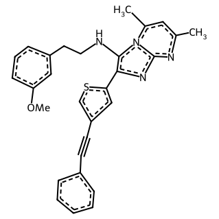 COc1cccc(CCNc2c(-c3cc(C#Cc4ccccc4)cs3)nc3nc(C)cc(C)n23)c1